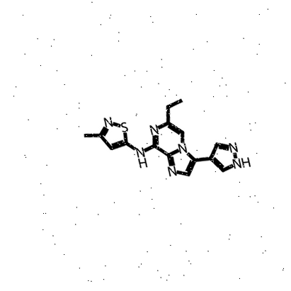 CCc1cn2c(-c3cn[nH]c3)cnc2c(Nc2cc(C)ns2)n1